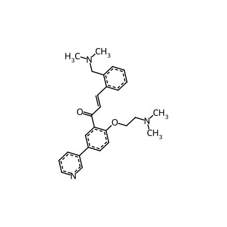 CN(C)CCOc1ccc(-c2cccnc2)cc1C(=O)C=Cc1ccccc1CN(C)C